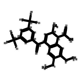 COc1cc2c(cc1OC)N(C(=O)O)C(C)C=C2C(=O)c1cc(C(F)(F)F)cc(C(F)(F)F)c1